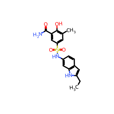 CCc1cc2ccc(NS(=O)(=O)c3cc(C)c(O)c(C(N)=O)c3)cc2[nH]1